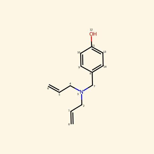 C=CCN(CC=C)Cc1ccc(O)cc1